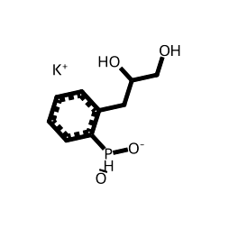 O=[PH]([O-])c1ccccc1CC(O)CO.[K+]